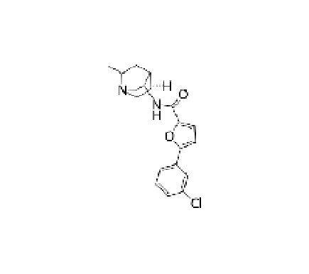 CC1CC2CCN1C[C@@H]2NC(=O)c1ccc(-c2cccc(Cl)c2)o1